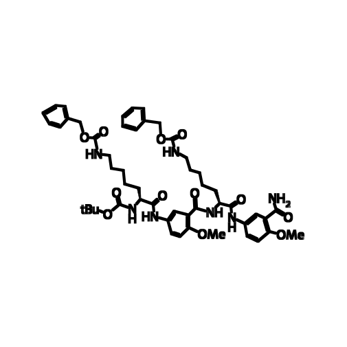 COc1ccc(NC(=O)[C@H](CCCCCNC(=O)OCc2ccccc2)NC(=O)c2cc(NC(=O)[C@H](CCCCCNC(=O)OCc3ccccc3)NC(=O)OC(C)(C)C)ccc2OC)cc1C(N)=O